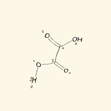 [2H]OC(=O)C(=O)O